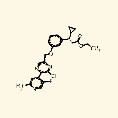 CCOC(=O)C[C@H](c1cccc(OCc2cnc(-c3cc(C)ncc3F)c(Cl)n2)c1)C1CC1